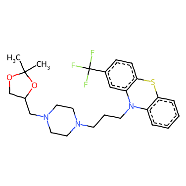 CC1(C)OCC(CN2CCN(CCCN3c4ccccc4Sc4ccc(C(F)(F)F)cc43)CC2)O1